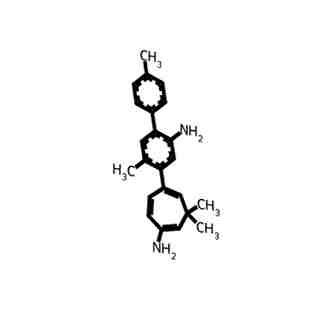 Cc1ccc(-c2cc(C)c(C3=CC(C)(C)C=C(N)C=C3)cc2N)cc1